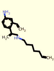 C=CCCCCCNCC(=C)c1ccc(N)cc1C=C